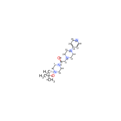 CC(C)(C)ON1CCN(C(=O)CN2CCN(c3ccncc3)CC2)CC1